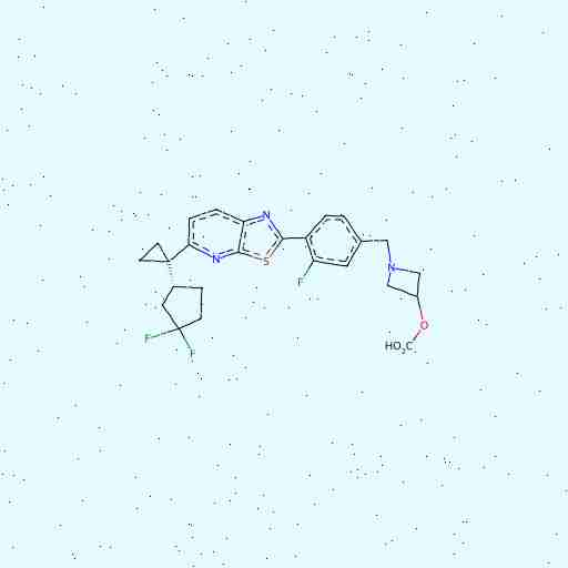 O=C(O)OC1CN(Cc2ccc(-c3nc4ccc(C5([C@@H]6CCC(F)(F)C6)CC5)nc4s3)c(F)c2)C1